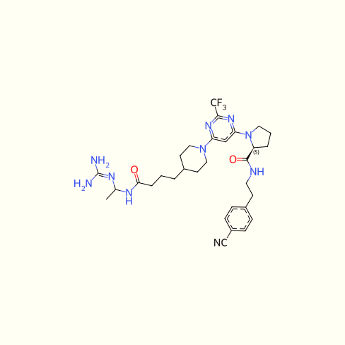 CC(N=C(N)N)NC(=O)CCCC1CCN(c2cc(N3CCC[C@H]3C(=O)NCCc3ccc(C#N)cc3)nc(C(F)(F)F)n2)CC1